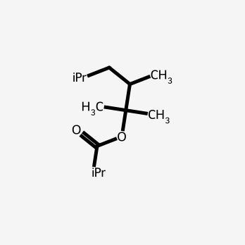 CC(C)CC(C)C(C)(C)OC(=O)C(C)C